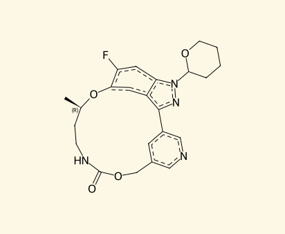 C[C@@H]1CCNC(=O)OCc2cncc(c2)-c2nn(C3CCCCO3)c3cc(F)c(cc23)O1